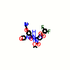 CC(C)OC(=O)n1nc(NC(=O)c2ccc(OCCN(C)C)cc2NC2CCOCC2)c2c1CCN(S(=O)(=O)c1cc(F)cc(F)c1)C2